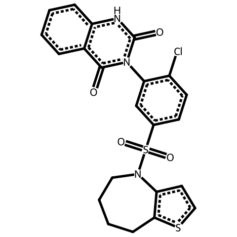 O=c1[nH]c2ccccc2c(=O)n1-c1cc(S(=O)(=O)N2CCCCc3sccc32)ccc1Cl